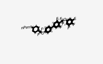 CCCCCC1CCC(C(F)(F)Oc2ccc(-c3cc(F)c(C(F)(F)Oc4cc(F)c(F)c(F)c4)c(F)c3)cc2)CC1